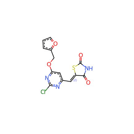 O=C1NC(=O)/C(=C/c2cc(OCc3ccco3)nc(Cl)n2)S1